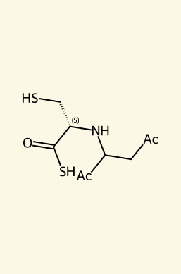 CC(=O)CC(N[C@@H](CS)C(=O)S)C(C)=O